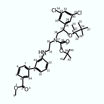 COC(=O)c1cccc(-c2cccc(NCCN(CC(O[Si](C)(C)C(C)(C)C)c3cc(Cl)cc(Cl)c3)C(=O)OC(C)(C)C)c2)c1